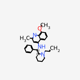 C=CCN1CCCC[C@H]1[C@@H](Nc1cc(C)nc2c(OC)cccc12)c1ccccc1